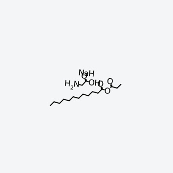 CCCCCCCCCCCC(=O)OC(=O)CC.NCC(=O)O.[NaH]